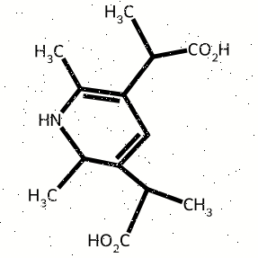 CC1=C(C(C)C(=O)O)C=C(C(C)C(=O)O)C(C)N1